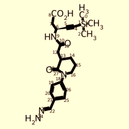 C[Si](C)(C)C#C[C@H](CC(=O)O)NC(=O)CC1CCCN(c2ccc(C=NN)cc2)C1=O